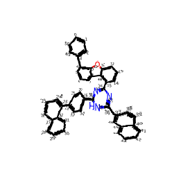 c1ccc(-c2cccc3c2oc2cccc(C4=NC(c5ccc(-c6cccc7ccccc67)cc5)NC(c5ccc6ccccc6c5)=N4)c23)cc1